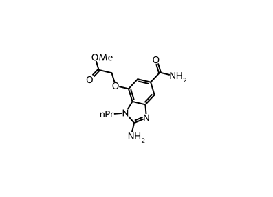 CCCn1c(N)nc2cc(C(N)=O)cc(OCC(=O)OC)c21